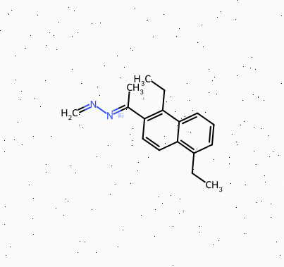 C=N/N=C(\C)c1ccc2c(CC)cccc2c1CC